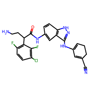 N#CC1=CC(Nc2n[nH]c3ccc(NC(=O)C(CCN)c4c(F)ccc(Cl)c4F)cc23)=CCC1